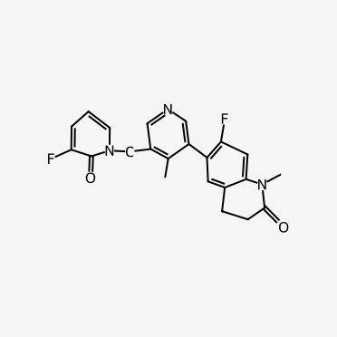 Cc1c(Cn2cccc(F)c2=O)cncc1-c1cc2c(cc1F)N(C)C(=O)CC2